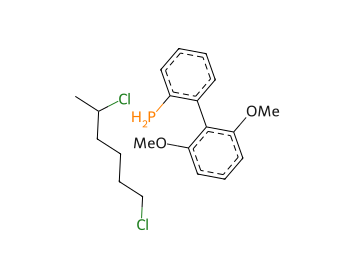 CC(Cl)CCCCCl.COc1cccc(OC)c1-c1ccccc1P